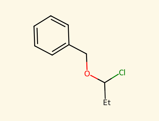 CCC(Cl)OCc1ccccc1